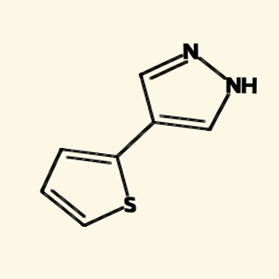 c1csc(-c2cn[nH]c2)c1